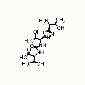 CC(O)[C@H](NC(=O)N[C@H](c1nnc([C@@H](N)C(C)O)o1)C(C)O)C(=O)O